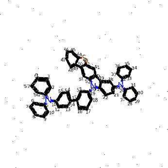 c1ccc(N(c2ccccc2)c2ccc(-c3cccc(-n4c5ccc(N(c6ccccc6)c6ccccc6)cc5c5cc6sc7ccccc7c6cc54)c3)cc2)cc1